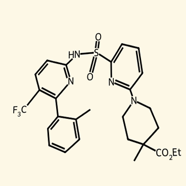 CCOC(=O)C1(C)CCN(c2cccc(S(=O)(=O)Nc3ccc(C(F)(F)F)c(-c4ccccc4C)n3)n2)CC1